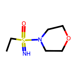 CCS(=N)(=O)N1CCOCC1